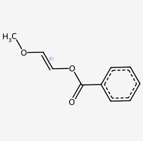 CO/C=C/OC(=O)c1ccccc1